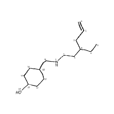 C=CCC(CC)CCNCC1CCC(O)CC1